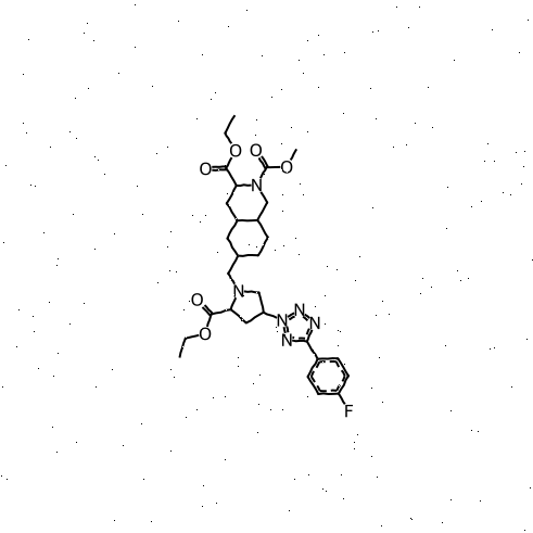 CCOC(=O)C1CC(n2nnc(-c3ccc(F)cc3)n2)CN1CC1CCC2CN(C(=O)OC)C(C(=O)OCC)CC2C1